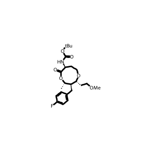 COCC[C@H]1OCC[C@H](NC(=O)OC(C)(C)C)C(=O)O[C@@H](C)[C@@H]1Cc1ccc(F)cc1